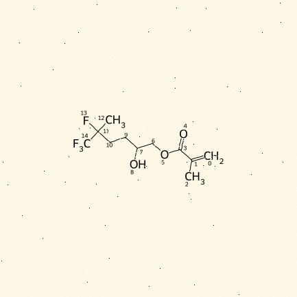 C=C(C)C(=O)OCC(O)CCC(C)(F)C(F)(F)F